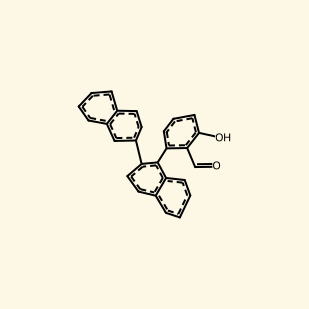 O=Cc1c(O)cccc1-c1c(-c2ccc3ccccc3c2)ccc2ccccc12